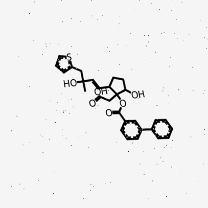 CC(O)(C=CC1CCC(O)C1(CC(=O)O)OC(=O)c1cccc(-c2ccccc2)c1)Cc1cccs1